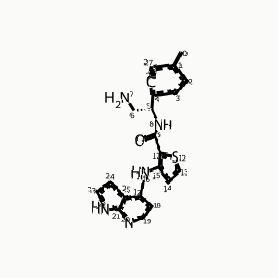 Cc1ccc([C@@H](CN)NC(=O)c2sccc2Nc2ccnc3[nH]ccc23)cc1